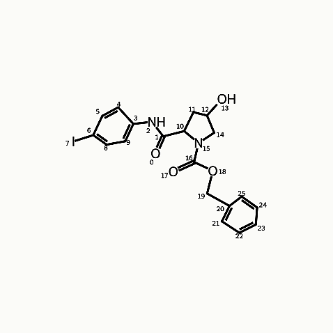 O=C(Nc1ccc(I)cc1)C1CC(O)CN1C(=O)OCc1ccccc1